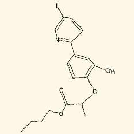 CCCCOC(=O)C(C)Oc1ccc(-c2ccc(I)cn2)cc1O